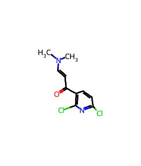 CN(C)C=CC(=O)c1ccc(Cl)nc1Cl